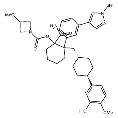 COc1ccc([C@H]2CC[C@H](CC3(c4cccc(-c5cnn(C(C)C)c5)c4)CCCCC3(OC(=O)N3CC(OC)C3)C(N)=O)CC2)nc1C